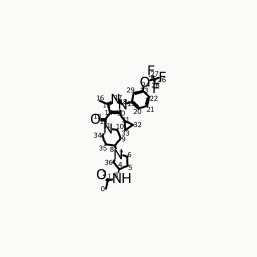 CC(=O)N[C@@H]1CCN(C2CCN(C(=O)c3c(C)nn(-c4cccc(OC(F)(F)F)c4)c3C3CC3)CC2)C1